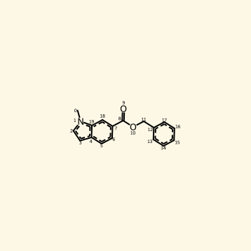 Cn1ccc2ccc(C(=O)OCc3ccccc3)cc21